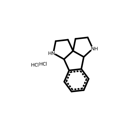 Cl.Cl.c1ccc2c(c1)C1NCCC13CCNC23